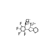 Fc1c(F)c(F)c(C2=Cc3ccccc3[CH]2[Ti+2])c(F)c1F.[Cl-].[Cl-]